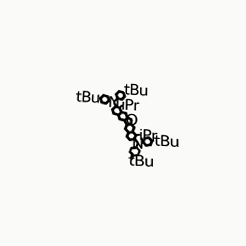 CC(C)c1c(N(C2=CC=C(C(C)(C)C)CC2)c2ccc(C(C)(C)C)cc2)ccc2cc3c(cc12)oc1cc2c(C(C)C)c(N(c4ccc(C(C)(C)C)cc4)c4ccc(C(C)(C)C)cc4)ccc2cc13